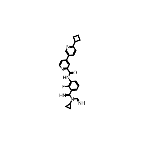 N=CN(C(=N)c1cccc(NC(=O)c2cc(-c3ccc(C4CCC4)nc3)ccn2)c1F)C1CC1